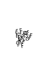 O=S(=O)(SC(S(=O)(=O)C(F)(F)F)S(=O)(=O)C(F)(F)F)C(F)(F)F